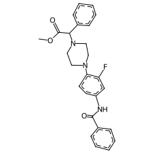 COC(=O)C(c1ccccc1)N1CCN(c2ccc(NC(=O)c3ccccc3)cc2F)CC1